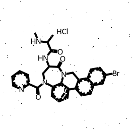 CNC(C)C(=O)NC1CN(C(=O)c2ccccn2)c2ccccc2N(Cc2c(OC)ccc3cc(Br)ccc23)C1=O.Cl